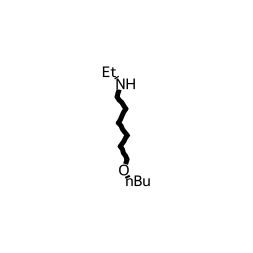 CCCCOCCCCCCNCC